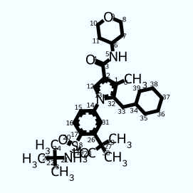 Cc1c(C(=O)NC2CCOCC2)cn(-c2ccc(S(=O)(=O)NC(C)(C)C)c(C(C)(C)C)c2)c1CC1CCCCC1